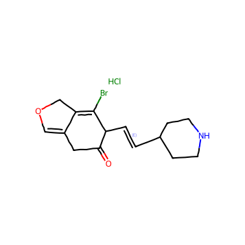 Cl.O=C1CC2=COCC2=C(Br)C1/C=C/C1CCNCC1